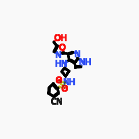 N#Cc1cccc(S(=O)(=O)N[C@H]2C[C@@H](Nc3c(-c4ncc(CO)o4)cnc4[nH]ccc34)C2)c1